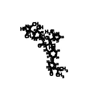 Cc1n[nH]c(C)c1-c1ccc(NC(=O)[C@H](Cc2cc(-c3ccc(=O)n(C(C)C)c3)ccc2Cl)NC(=O)c2ccnn2C)cc1O